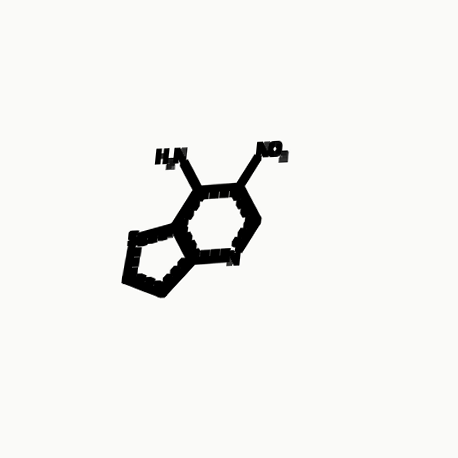 Nc1c([N+](=O)[O-])cnc2ccsc12